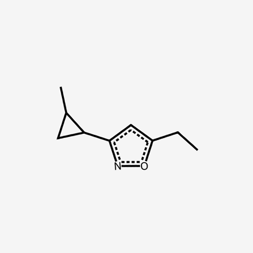 CCc1cc(C2CC2C)no1